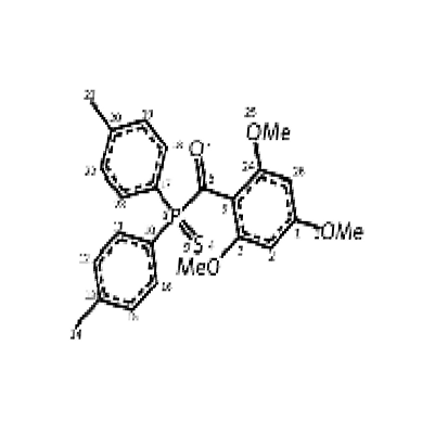 COc1cc(OC)c(C(=O)P(=S)(c2ccc(C)cc2)c2ccc(C)cc2)c(OC)c1